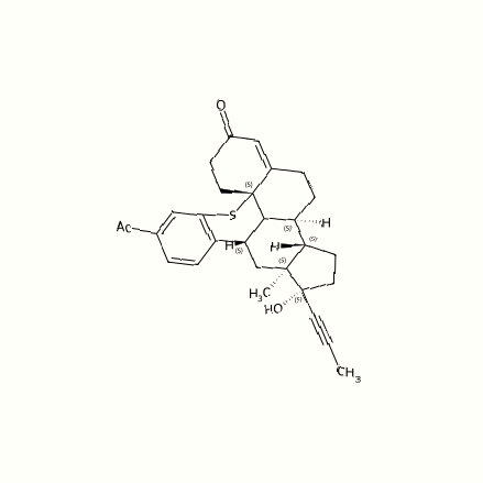 CC#C[C@]1(O)CC[C@H]2[C@@H]3CCC4=CC(=O)CC[C@@]45Sc4cc(C(C)=O)ccc4[C@@H](C[C@@]21C)C35